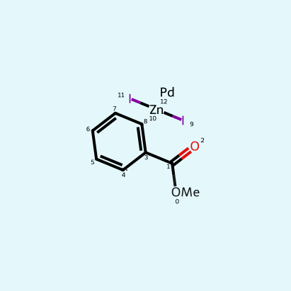 COC(=O)c1[c]cccc1.[I][Zn][I].[Pd]